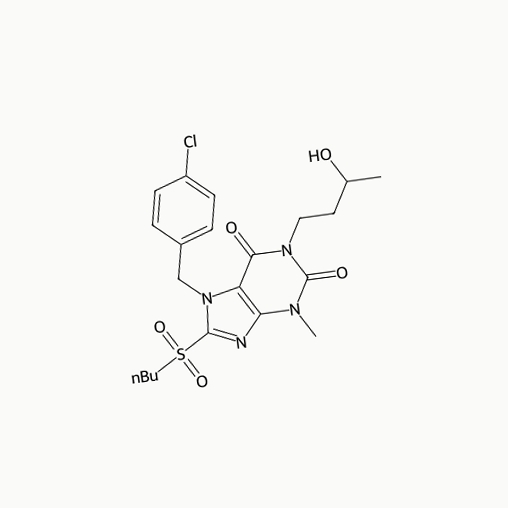 CCCCS(=O)(=O)c1nc2c(c(=O)n(CCC(C)O)c(=O)n2C)n1Cc1ccc(Cl)cc1